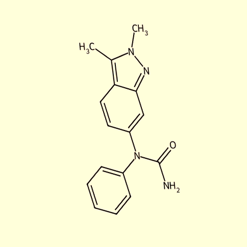 Cc1c2ccc(N(C(N)=O)c3ccccc3)cc2nn1C